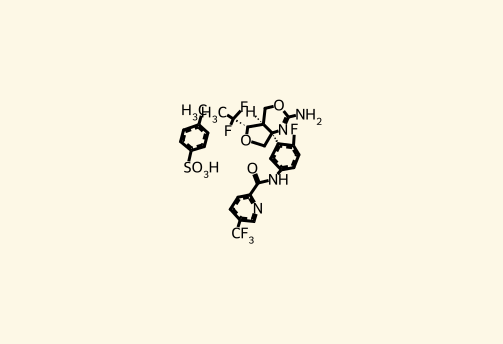 CC(F)(F)[C@H]1OC[C@]2(c3cc(NC(=O)c4ccc(C(F)(F)F)cn4)ccc3F)N=C(N)OC[C@H]12.Cc1ccc(S(=O)(=O)O)cc1